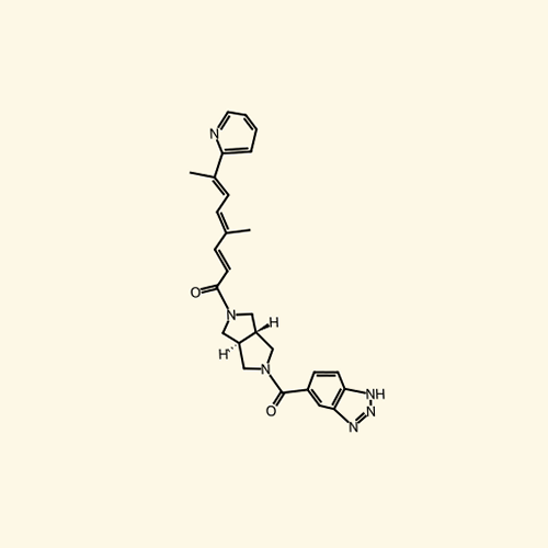 CC(/C=C/C(=O)N1C[C@@H]2CN(C(=O)c3ccc4[nH]nnc4c3)C[C@H]2C1)=C\C=C(/C)c1ccccn1